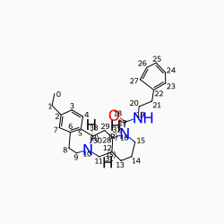 CCc1ccc2c(c1)CCN1C[C@@H]3CCCN(C(=O)NCCc4ccccc4)[C@@H]3C[C@H]21